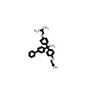 C#CCOc1ccc(C(C)(c2ccc(OCC(=C)C)cc2)c2ccc(-c3ccccc3)cc2)cc1